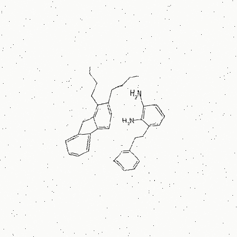 CCCCc1ccc2c(c1CCCC)Cc1ccccc1-2.Nc1cccc(CCc2ccccc2)c1N